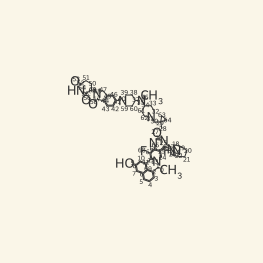 CCc1cccc2cc(O)cc(-c3ncc4c(N5CC6CCC(C5)N6)nc(OCC5(CN6CCC(N(C)C7CCN(c8ccc9c(c8)CN([C@H]8CCC(=O)NC8=O)C9=O)CC7)CC6)CC5)nc4c3F)c12